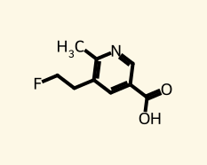 Cc1ncc(C(=O)O)cc1CCF